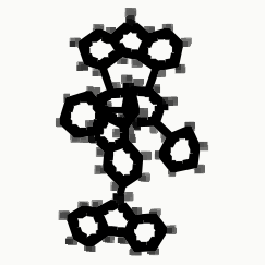 c1ccc(-c2nc(-c3ccccc3)nc(-c3cccc4sc5cccc(-c6ccc7c(c6)oc6cc(-n8c9ccccc9c9ccccc98)ccc67)c5c34)n2)cc1